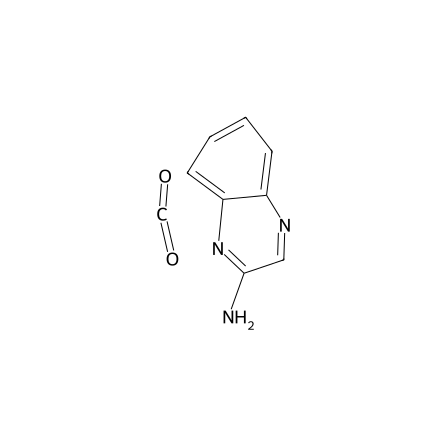 Nc1cnc2ccccc2n1.O=C=O